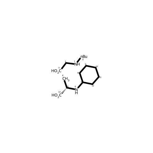 CCCCNCC(=O)O.C[C@H](NC1CCCCC1)C(=O)O